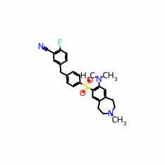 CN1CCc2cc(N(C)C)c(S(=O)(=O)c3ccc(Cc4ccc(F)c(C#N)c4)cc3)cc2CC1